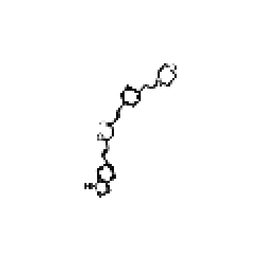 O=C(/C=C/c1ccc(CCN2CCOCC2)cc1)CC(=O)/C=C/c1ccc2cc[nH]c2c1